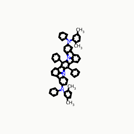 Cc1ccc(C)c(N(c2ccccc2)c2ccc3c(c2)c2cccc4c5c(-c6ccccc6)c6c(c(-c7ccccc7)c5n3c24)c2cccc3c4cc(N(c5ccccc5)c5cc(C)ccc5C)ccc4n6c32)c1